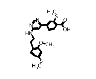 COc1cc(SC)ccc1CCNc1cc(-c2ccc(C(=O)O)c(SC)c2)ncn1